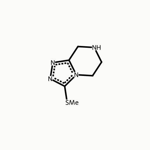 CSc1nnc2n1CCNC2